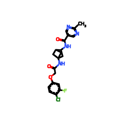 Cc1ncc(C(=O)NC2CC3(NC(=O)COc4ccc(Cl)c(F)c4)CC2C3)cn1